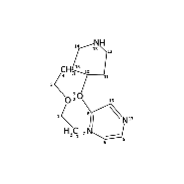 CCOCC.c1cnc(OC2CCNCC2)cn1